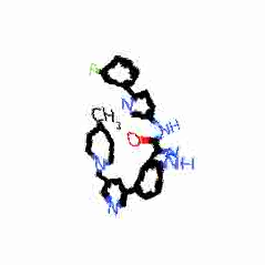 CC1CCN(Cc2cncc(-c3ccc4[nH]nc(C(=O)Nc5ccc(-c6cccc(F)c6)nc5)c4c3)c2)CC1